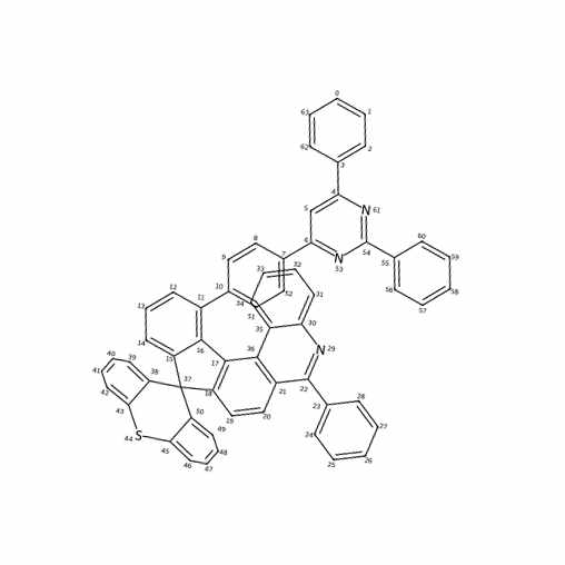 c1ccc(-c2cc(-c3ccc(-c4cccc5c4-c4c(ccc6c(-c7ccccc7)nc7ccccc7c46)C54c5ccccc5Sc5ccccc54)cc3)nc(-c3ccccc3)n2)cc1